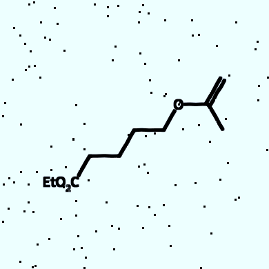 C=C(C)OCCCCC(=O)OCC